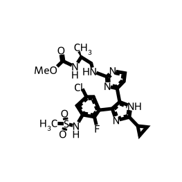 COC(=O)N[C@@H](C)CNc1nccc(-c2[nH]c(C3CC3)nc2-c2cc(Cl)cc(NS(C)(=O)=O)c2F)n1